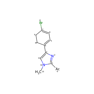 CC(=O)c1nc(C2=CC=C(Br)CC2)cn1C